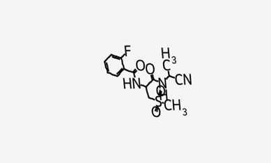 CC(C#N)NC(=O)C(CS(C)(=O)=O)NC(=O)c1ccccc1F